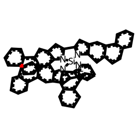 c1ccc2c(c1)ccc1cc3c(cc4n3[Si]3(n5c-4cc4cc6c(ccc7ccccc76)cc45)n4c(cc5cc6c(ccc7ccccc76)cc54)-c4cc5cc6c(ccc7ccccc76)cc5n43)cc12